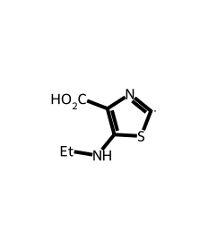 CCNc1s[c]nc1C(=O)O